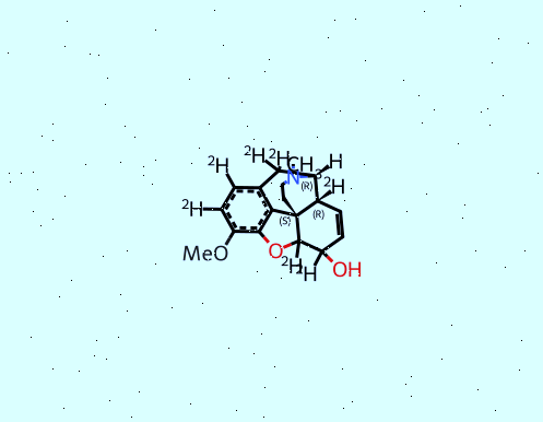 [2H]c1c([2H])c2c3c(c1OC)OC1([2H])C([2H])(O)C=C[C@@]4([2H])[C@H](N(C)CC[C@]314)C2([2H])[2H]